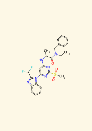 CCN(Cc1ccccc1)C(=O)C(C)Nc1cc(-n2c(C(F)F)nc3ccccc32)nc(S(C)(=O)=O)n1